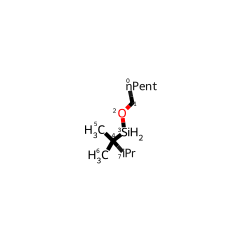 [CH2]CCCCCO[SiH2]C(C)(C)C(C)C